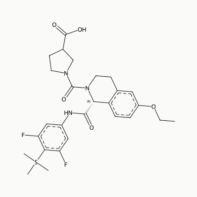 CCOc1ccc2c(c1)CCN(C(=O)N1CCC(C(=O)O)C1)[C@H]2C(=O)Nc1cc(F)c(S(C)(C)C)c(F)c1